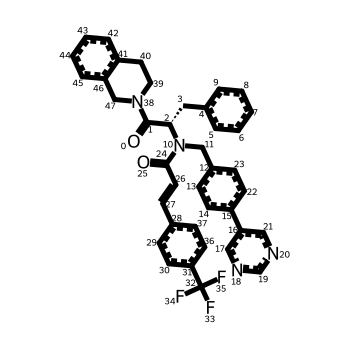 O=C([C@H](Cc1ccccc1)N(Cc1ccc(-c2cncnc2)cc1)C(=O)/C=C/c1ccc(C(F)(F)F)cc1)N1CCc2ccccc2C1